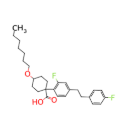 CCCCCCCOC1CCC(C(=O)O)(c2ccc(CCc3ccc(F)cc3)cc2F)CC1